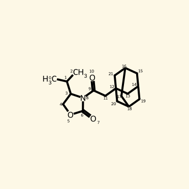 CC(C)C1COC(=O)N1C(=O)CC12CC3CC(CC(C3)C1)C2